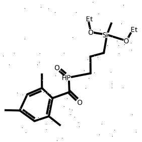 CCO[Si](C)(CCC[PH](=O)C(=O)c1c(C)cc(C)cc1C)OCC